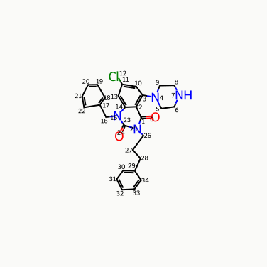 O=c1c2c(N3CCNCC3)cc(Cl)cc2n(Cc2ccccc2)c(=O)n1CCCc1ccccc1